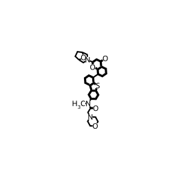 CN(C(=O)CN1CCOCC1)c1ccc2sc3c(-c4cccc5c(=O)cc(N6CC7CCC(C6)O7)oc45)cccc3c2c1